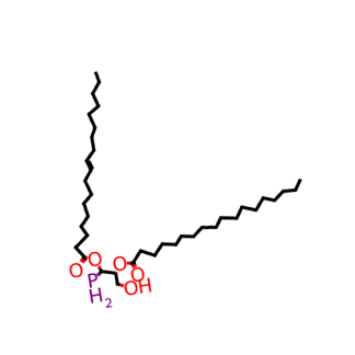 CCCCCCCCC=CCCCCCCCC(=O)OC(P)C(CO)OC(=O)CCCCCCCCCCCCCCCCC